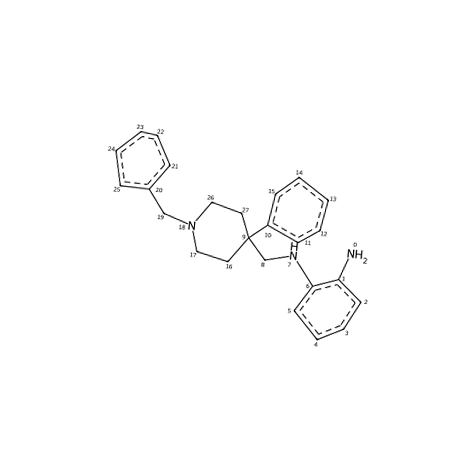 Nc1ccccc1NCC1(c2ccccc2)CCN(Cc2ccccc2)CC1